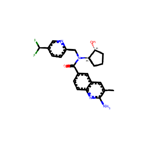 Cc1cc2cc(C(=O)N(Cc3ccc(C(F)F)cn3)[C@@H]3CCC[C@H]3O)ccc2nc1N